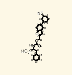 N#Cc1cccc(-c2ccc3oc(COC(=O)NC(Cc4ccccc4)C(=O)O)cc3c2)c1